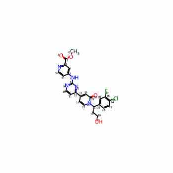 COC(=O)c1cc(Nc2nccc(-c3ccn([C@H](CCO)c4ccc(Cl)c(F)c4)c(=O)c3)n2)ccn1